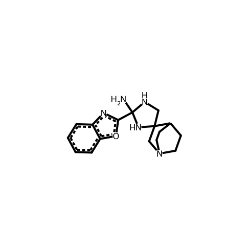 NC1(c2nc3ccccc3o2)NCC2(CN3CCC2CC3)N1